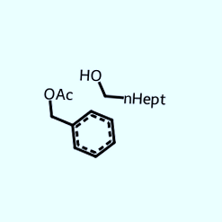 CC(=O)OCc1ccccc1.CCCCCCCCO